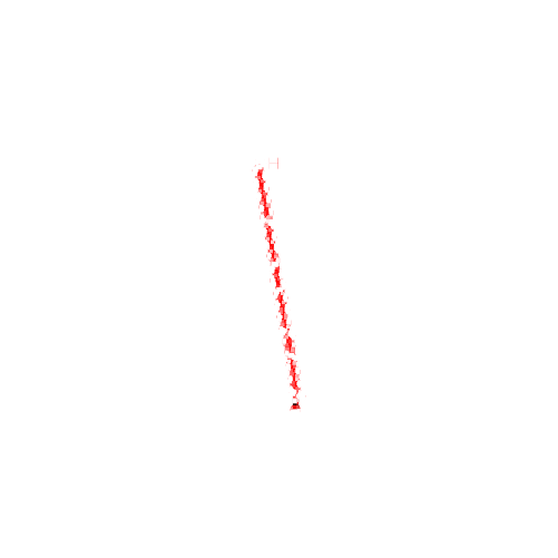 O=BOOOOOOOOOOOOOOOOOOOOOOOOOOOOOOOOOOOOOOO